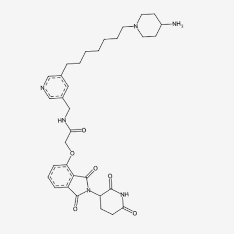 NC1CCN(CCCCCCCc2cncc(CNC(=O)COc3cccc4c3C(=O)N(C3CCC(=O)NC3=O)C4=O)c2)CC1